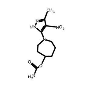 Cc1n[nH]c(N2CCCC(OC(N)=O)CC2)c1[N+](=O)[O-]